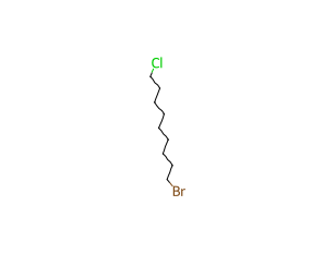 ClCCCCCCCCCBr